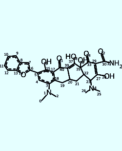 CN(C)c1cc(-c2cc3ccccc3o2)c(O)c2c1CC1CC3C(N(C)C)C(O)=C(C(N)=O)C(=O)C3(O)C(O)=C1C2=O